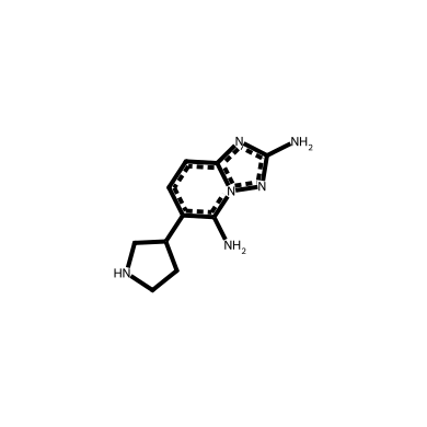 Nc1nc2ccc(C3CCNC3)c(N)n2n1